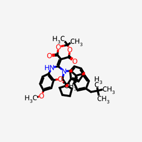 COc1ccc(NC(=C2C(=O)OC(C)(C)OC2=O)N(Cc2ccc(CC(C)(C)C)cc2)CC2(c3ccccc3)CCCC2)c(OC)c1